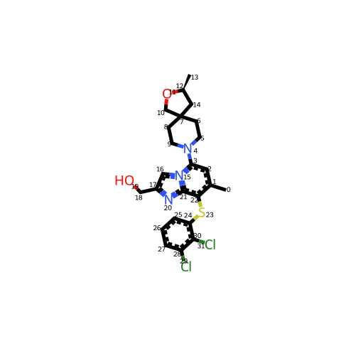 Cc1cc(N2CCC3(CC2)CO[C@@H](C)C3)n2cc(CO)nc2c1Sc1cccc(Cl)c1Cl